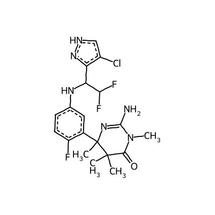 CN1C(=O)C(C)(C)C(C)(c2cc(NC(c3n[nH]cc3Cl)C(F)F)ccc2F)N=C1N